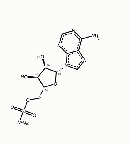 CC(=O)NS(=O)(=O)OC[C@H]1O[C@@H](n2cnc3c(N)ncnc32)[C@H](O)[C@@H]1O